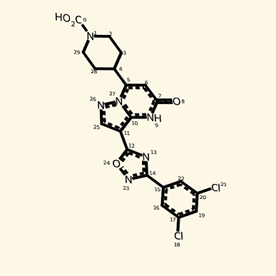 O=C(O)N1CCC(c2cc(=O)[nH]c3c(-c4nc(-c5cc(Cl)cc(Cl)c5)no4)cnn23)CC1